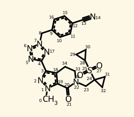 Cn1nc(-c2nnn(Cc3ccc(C#N)cc3)n2)c2c1C(=O)N(CC1(S(=O)(=O)C3CC3)CC1)CC2